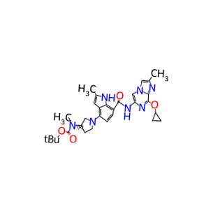 Cc1cn2cc(NC(=O)c3ccc(N4CC[C@@H](N(C)C(=O)OC(C)(C)C)C4)c4cc(C)[nH]c34)nc(OC3CC3)c2n1